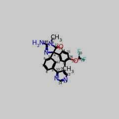 Cc1cc(C2(c3cccc(-c4ccncn4)c3)N=C(N)N(C)C2=O)ccc1OC(F)F